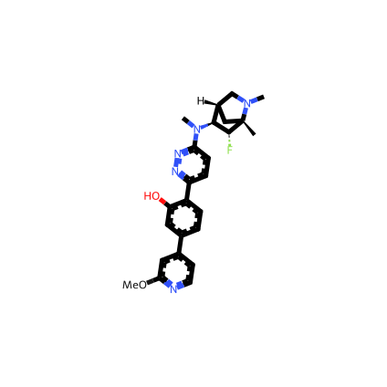 COc1cc(-c2ccc(-c3ccc(N(C)[C@H]4[C@@H]5CN(C)[C@@](C)(C5)[C@@H]4F)nn3)c(O)c2)ccn1